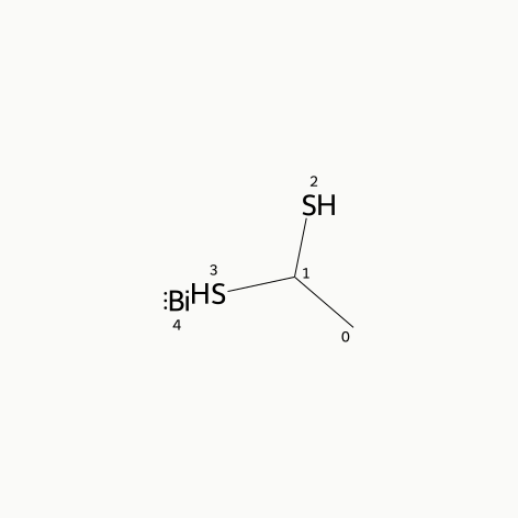 CC(S)S.[Bi]